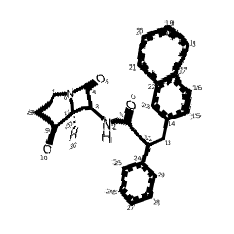 O=C(NC1C(=O)N2CCC(=O)[C@H]12)C(Cc1ccc2ccccc2c1)c1ccccc1